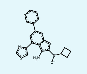 Nc1c([S+]([O-])C2CCC2)sc2nc(-c3cccnc3)cc(-c3cscn3)c12